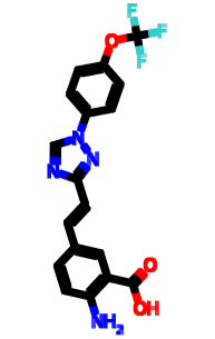 Nc1ccc(C=Cc2ncn(-c3ccc(OC(F)(F)F)cc3)n2)cc1C(=O)O